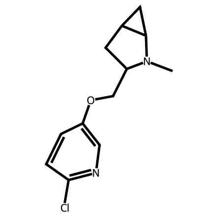 CN1C(COc2ccc(Cl)nc2)CC2CC21